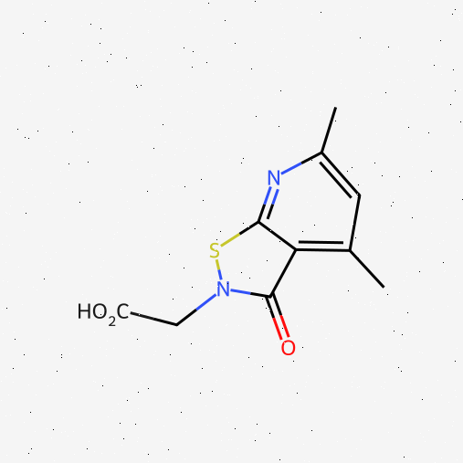 Cc1cc(C)c2c(=O)n(CC(=O)O)sc2n1